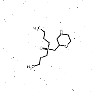 CCCCP(=O)(CCCC)CC1CNCCO1